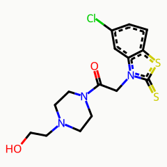 O=C(Cn1c(=S)sc2ccc(Cl)cc21)N1CCN(CCO)CC1